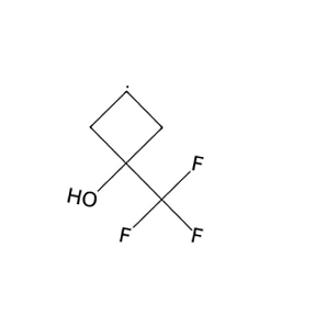 OC1(C(F)(F)F)C[CH]C1